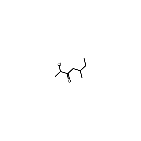 CCC(C)CC(=O)C(C)Cl